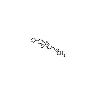 COCCc1ccc2c(c1)sc1c3ccc(-c4ccccc4)cc3sc21